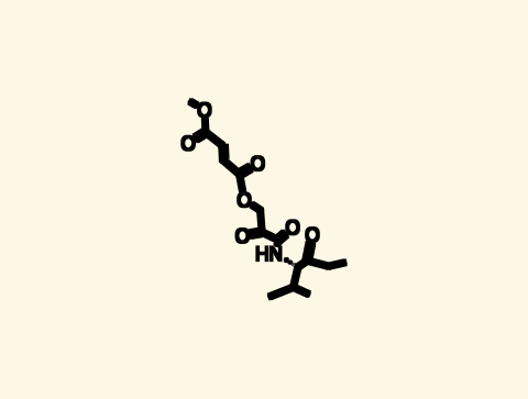 CCC(=O)[C@@H](NC(=O)C(=O)COC(=O)/C=C/C(=O)OC)C(C)C